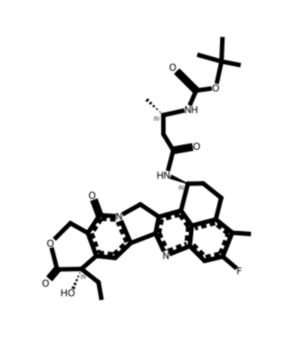 CC[C@@]1(O)C(=O)OCc2c1cc1n(c2=O)Cc2c-1nc1cc(F)c(C)c3c1c2[C@@H](NC(=O)C[C@H](C)NC(=O)OC(C)(C)C)CC3